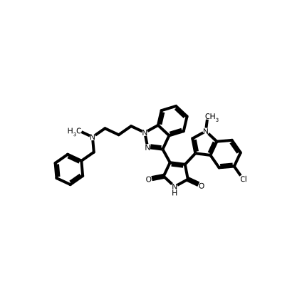 CN(CCCn1nc(C2=C(c3cn(C)c4ccc(Cl)cc34)C(=O)NC2=O)c2ccccc21)Cc1ccccc1